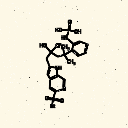 CCS(=O)(=O)c1cc2cc(CC(O)(CC(C)(C)c3ccccc3NP(=O)(O)O)C(F)(F)F)[nH]c2cn1